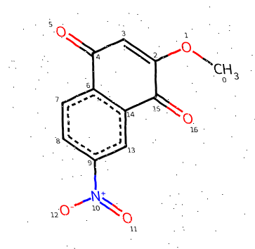 COC1=CC(=O)c2ccc([N+](=O)[O-])cc2C1=O